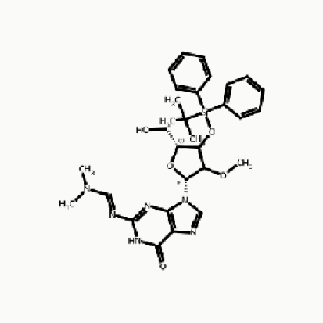 COC1C(O[Si](c2ccccc2)(c2ccccc2)C(C)(C)C)[C@@H](CO)O[C@H]1n1cnc2c(=O)[nH]c(N=CN(C)C)nc21